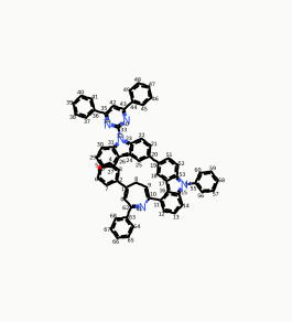 C1=C(c2ccccc2)CC=C(c2cccc3c2c2cc(-c4ccc5c(c4)c4ccccc4n5-c4nc(-c5ccccc5)cc(-c5ccccc5)n4)ccc2n3-c2ccccc2)N=C1c1ccccc1